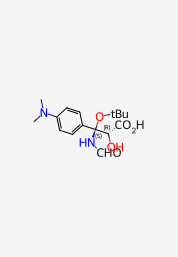 CN(C)c1ccc([C@](NC=O)(OC(C)(C)C)[C@@H](O)C(=O)O)cc1